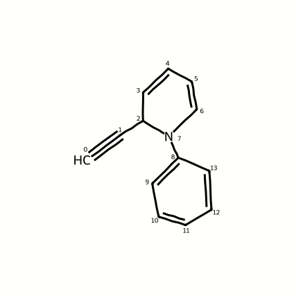 C#CC1C=CC=CN1c1ccccc1